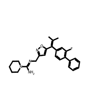 CC(C)=C(c1ccc(-c2ccccc2)c(F)c1)c1cc(C/N=C(\N)N2CCCCC2)no1